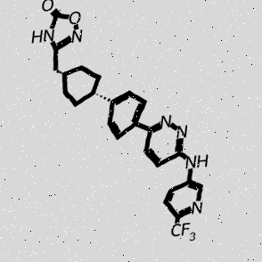 O=c1[nH]c(C[C@H]2CC[C@@H](c3ccc(-c4ccc(Nc5ccc(C(F)(F)F)nc5)nn4)cc3)CC2)no1